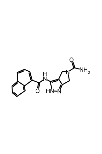 NC(=O)N1Cc2n[nH]c(NC(=O)c3cccc4ccccc34)c2C1